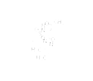 CC[C@H](C)c1noc([C@H](CC(C)=O)NS(=O)(=O)C2CC2)n1